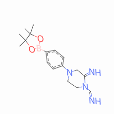 CC1(C)OB(c2ccc(N3CCN(C=N)C(=N)C3)cc2)OC1(C)C